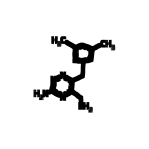 BCc1nc(N)nnc1Cc1cc(C)cc(C)c1